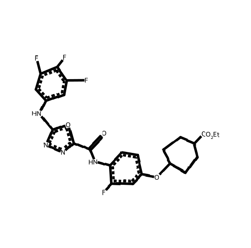 CCOC(=O)C1CCC(Oc2ccc(NC(=O)c3nnc(Nc4cc(F)c(F)c(F)c4)o3)c(F)c2)CC1